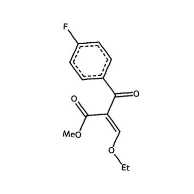 CCOC=C(C(=O)OC)C(=O)c1ccc(F)cc1